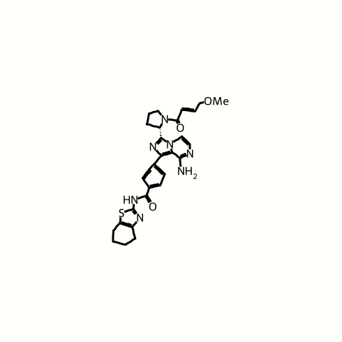 COC/C=C/C(=O)N1CCC[C@H]1c1nc(-c2ccc(C(=O)Nc3nc4c(s3)CCCC4)cc2)c2c(N)nccn12